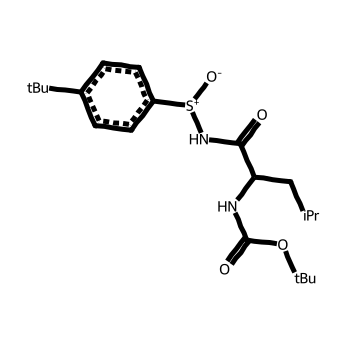 CC(C)CC(NC(=O)OC(C)(C)C)C(=O)N[S+]([O-])c1ccc(C(C)(C)C)cc1